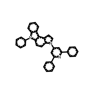 c1ccc(-c2cc(-n3ccc4c5c6ccccc6n(-c6ccccc6)c5ccc43)cc(-c3ccccc3)n2)cc1